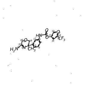 CC1(c2cccc(NC(=O)Oc3coc(C(F)(F)F)c3)c2)COCC(N)=N1